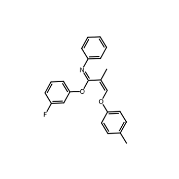 CC(=COc1ccc(C)cc1)/C(=N\c1ccccc1)Oc1cccc(F)c1